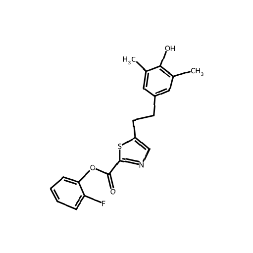 Cc1cc(CCc2cnc(C(=O)Oc3ccccc3F)s2)cc(C)c1O